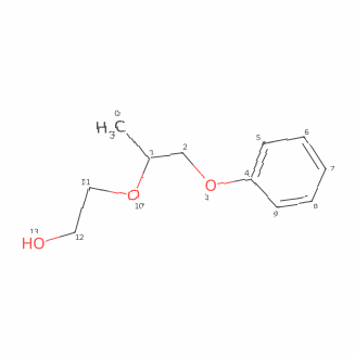 CC(COc1ccccc1)OCCO